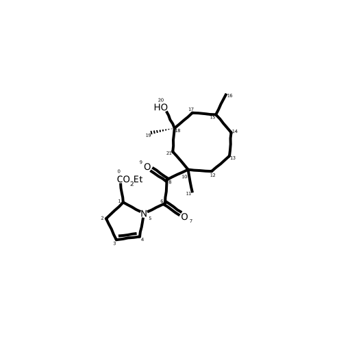 CCOC(=O)C1CC=CN1C(=O)C(=O)C1(C)CCCC(C)C[C@](C)(O)C1